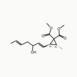 CC=CCC(O)C=C[C@@H]1[C@@H](C)C1(C(=O)OC)C(=O)OC